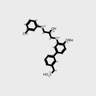 COc1ccc(-c2cccc(CC(=O)O)c2)cc1OCC(O)COc1cccc(Cl)c1